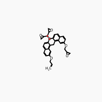 C=CCOc1ccc2ccc(OCC3CO3)c(Cc3c(OCC4CO4)ccc4ccc(OCC5CO5)cc34)c2c1